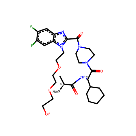 CN[C@@H](C)C(=O)N[C@H](C(=O)N1CCN(C(=O)c2nc3cc(F)c(F)cc3n2CCOCCOCCO)CC1)C1CCCCC1